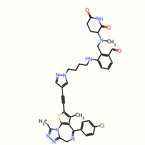 Cc1c(C#Cc2cnn(CCCCNc3cccc(C=O)c3CN(C)C3CCC(=O)NC3=O)c2)sc2c1C(c1ccc(Cl)cc1)=NCc1nnc(C)n1-2